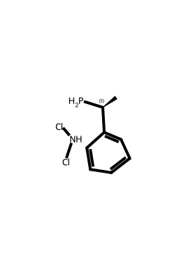 C[C@H](P)c1ccccc1.ClNCl